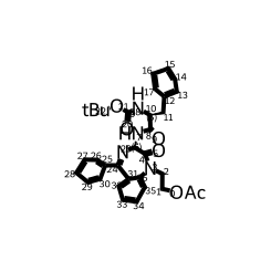 CC(=O)OCCN1C(=O)[C@@H](NC(=O)[C@H](Cc2ccccc2)NC(=O)OC(C)(C)C)N=C(c2ccccc2)c2ccccc21